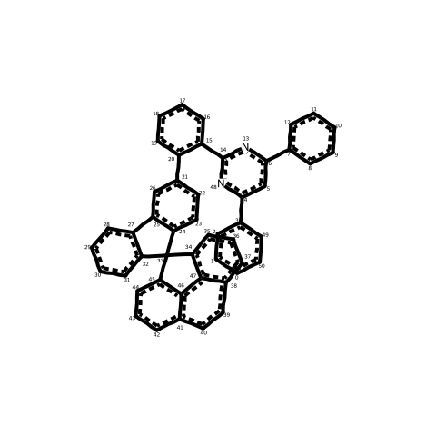 c1ccc(-c2cc(-c3ccccc3)nc(-c3ccccc3-c3ccc4c(c3)-c3ccccc3C43c4cccc5ccc6cccc3c6c45)n2)cc1